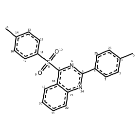 Cc1ccc(-c2nc(S(=O)(=O)c3ccc(C)cc3)c3ccccc3n2)cc1